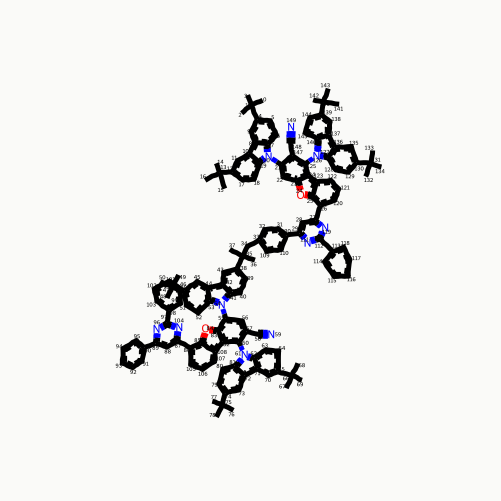 CC(C)(C)c1ccc2c(c1)c1cc(C(C)(C)C)ccc1n2-c1cc2oc3c(-c4cc(-c5ccc(CC(C)(C)c6ccc7c(c6)c6cc(C(C)(C)C)ccc6n7-c6cc(C#N)c(-n7c8ccc(C(C)(C)C)cc8c8cc(C(C)(C)C)ccc87)c7c6oc6c(-c8cc(-c9ccccc9)nc(-c9ccccc9)n8)cccc67)cc5)nc(-c5ccccc5)n4)cccc3c2c(-n2c3ccc(C(C)(C)C)cc3c3cc(C(C)(C)C)ccc32)c1C#N